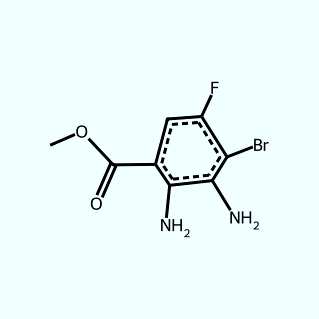 COC(=O)c1cc(F)c(Br)c(N)c1N